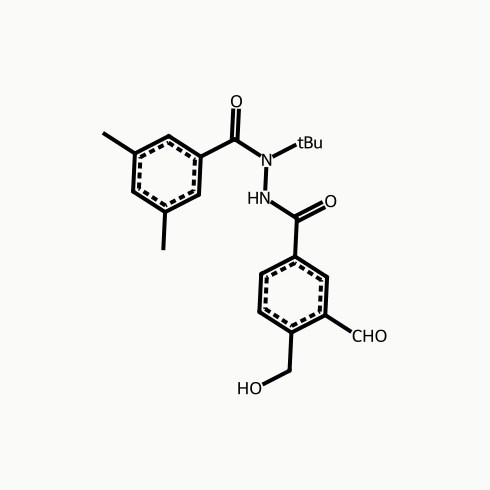 Cc1cc(C)cc(C(=O)N(NC(=O)c2ccc(CO)c(C=O)c2)C(C)(C)C)c1